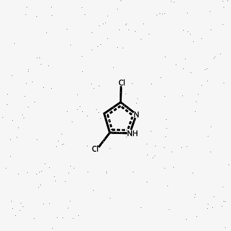 Clc1cc(Cl)[nH]n1